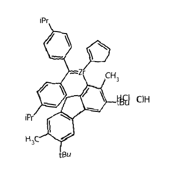 Cc1cc2c(cc1C(C)(C)C)-c1cc(C(C)(C)C)c(C)[c]([Zr]([C]3=CC=CC3)=[C](c3ccc(C(C)C)cc3)c3ccc(C(C)C)cc3)c1C2.Cl.Cl